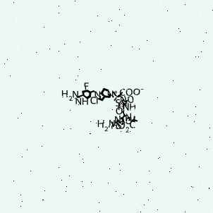 CC(C)(ON=C(C(=O)N[C@@H]1C(=O)N2C(C(=O)[O-])=C(C[n+]3ccc4c(ccn4Cc4c(F)cc(C(=N)N)cc4Cl)c3)CS[C@H]12)c1csc(N)n1)C(=O)O